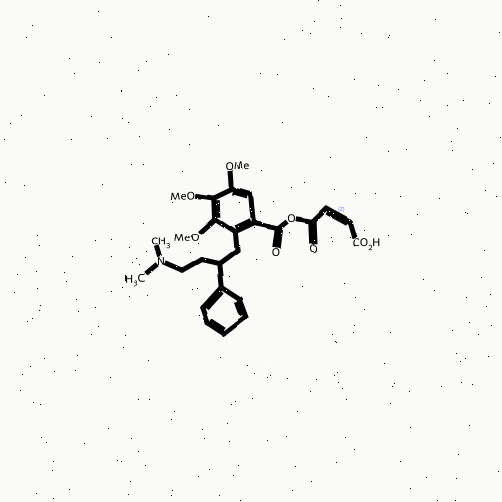 COc1cc(C(=O)OC(=O)/C=C\C(=O)O)c(CC(CCN(C)C)c2ccccc2)c(OC)c1OC